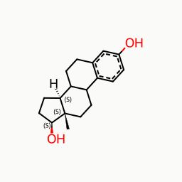 C[C@]12CCC3c4ccc(O)cc4CCC3[C@@H]1CC[C@@H]2O